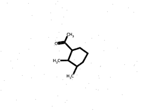 CC(=O)C1CCCC(C)C1C